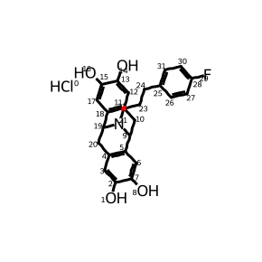 Cl.Oc1cc2c(cc1O)C1Cc3cc(O)c(O)cc3C(C2)N1CCCc1ccc(F)cc1